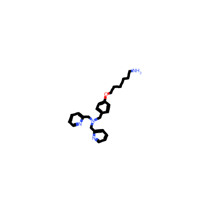 NCCCCCCOc1ccc(CN(Cc2ccccn2)Cc2ccccn2)cc1